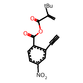 C#Cc1cc([N+](=O)[O-])ccc1C(=O)OC(=O)C(=C)C(C)(C)C